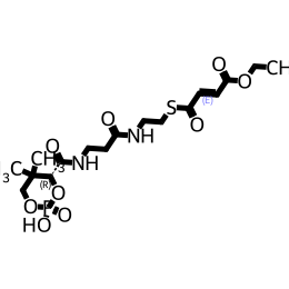 CCOC(=O)/C=C/C(=O)SCCNC(=O)CCNC(=O)[C@@H]1OP(=O)(O)OCC1(C)C